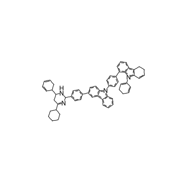 C1=CCC(C2CC(C3CCCCC3)=NC(c3ccc(-c4ccc5c(c4)c4ccccc4n5-c4ccc(-c5cccc6c7c(n(C8=CCCC=C8)c56)C=CCC7)cc4)cc3)N2)C=C1